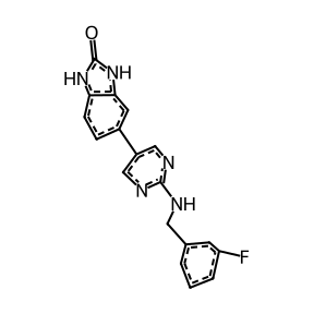 O=c1[nH]c2ccc(-c3cnc(NCc4cccc(F)c4)nc3)cc2[nH]1